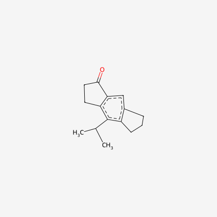 CC(C)c1c2c(cc3c1CCC3=O)CCC2